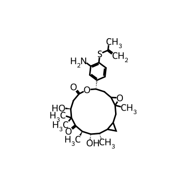 C=C(C)Sc1ccc([C@@H]2CC3OC3(C)CC3CC3[C@H](C)[C@H](O)[C@@H](C)C(=O)C(C)(C)[C@@H](O)CC(=O)O2)cc1N